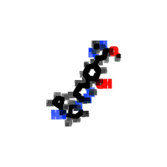 COc1cc(-c2ccc(-c3ccc(N4CC[C@@](C)(NC5CCC5)C4)nn3)c(O)c2)ncn1